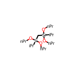 CCCO[Si](C[Si](OCCC)(OCCC)C(C)C)(OCCC)C(C)C